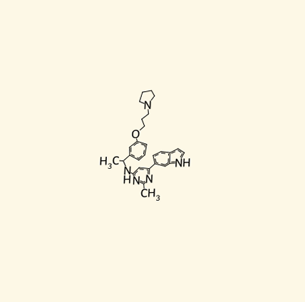 Cc1nc(NC(C)c2cccc(OCCCN3CCCC3)c2)cc(-c2ccc3cc[nH]c3c2)n1